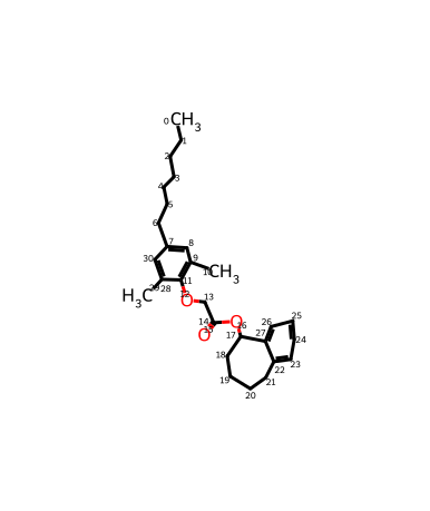 CCCCCCCc1cc(C)c(OCC(=O)OC2CCCCc3ccccc32)c(C)c1